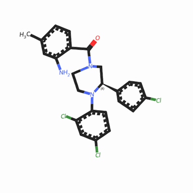 Cc1ccc(C(=O)N2CCN(c3ccc(Cl)cc3Cl)[C@H](c3ccc(Cl)cc3)C2)c(N)c1